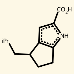 CC(C)CC1CCc2[nH]c(C(=O)O)cc21